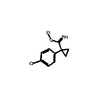 CCOC(=N)C1(c2ccc(Cl)cc2)CC1